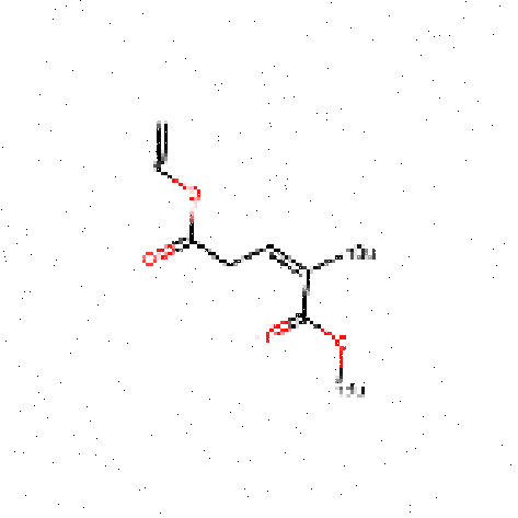 C=COC(=O)CC=C(CCCC)C(=O)OCCCC